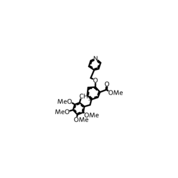 COC(=O)c1cc(Cc2c(C)c(OC)c(OC)c(OC)c2OC)ccc1OCc1ccncc1